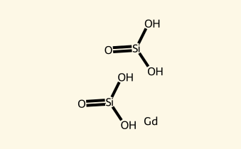 O=[Si](O)O.O=[Si](O)O.[Gd]